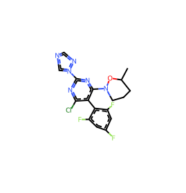 CC1CCCN(c2nc(-n3cncn3)nc(Cl)c2-c2c(F)cc(F)cc2F)O1